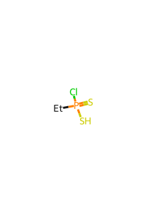 CCP(=S)(S)Cl